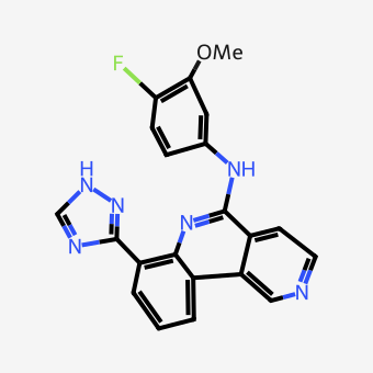 COc1cc(Nc2nc3c(-c4nc[nH]n4)cccc3c3cnccc23)ccc1F